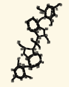 Cc1cc(C)c(-c2cccc3c2CC(C)C3[Si](C)(C)C2c3cccc(-c4c(C)cc(C)cc4C)c3CC2C)c(C)c1